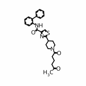 CC(=O)CCCC(=O)N1CCC(c2nc(C(=O)Nc3ccccc3-c3ccccc3)cs2)CC1